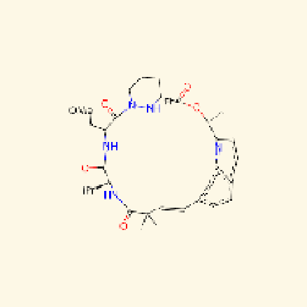 COCC1NC(=O)[C@H](C(C)C)NC(=O)C(C)(C)/C=C/c2ccc3ccc(nc3c2)[C@@H](C)OC(=O)[C@@H]2CCCN(N2)C1=O